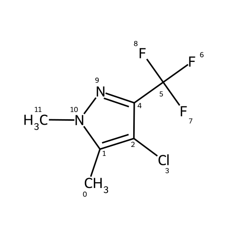 Cc1c(Cl)c(C(F)(F)F)nn1C